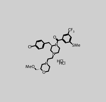 COC[C@@H]1CN(CCN2CCN(C(=O)c3cc(SC)cc(C(F)(F)F)c3)[C@H](Cc3ccc(Cl)cc3)C2)CCO1.Cl.Cl